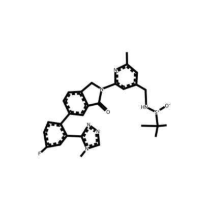 Cc1cc(CN[S+]([O-])C(C)(C)C)cc(N2Cc3ccc(-c4ccc(F)cc4-c4nncn4C)cc3C2=O)n1